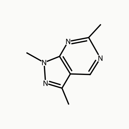 Cc1ncc2c(C)nn(C)c2n1